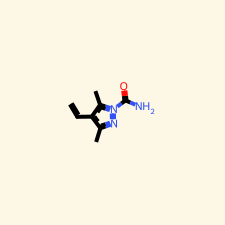 C=Cc1c(C)nn(C(N)=O)c1C